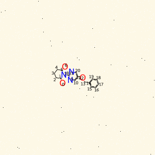 O=C1CCCC(=O)N1c1ncc(OCc2ccccc2)cn1